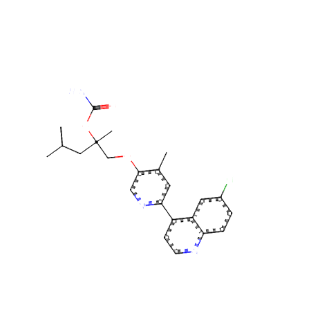 Cc1cc(-c2ccnc3ccc(Cl)cc23)ncc1OCC(C)(CC(C)C)OC(N)=O